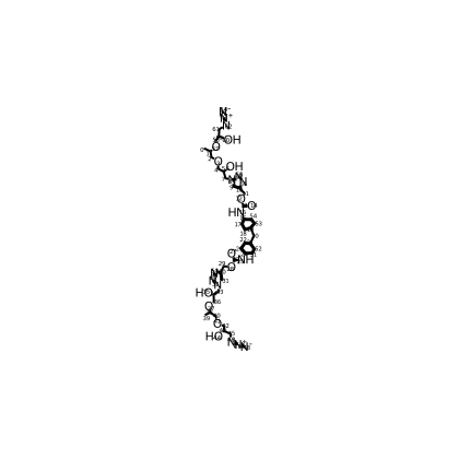 CC(COCC(O)Cn1cc(COC(=O)Nc2ccc(Cc3ccc(NC(=O)OCc4cn(CC(O)COC(C)COCC(O)CN=[N+]=[N-])nn4)cc3)cc2)nn1)OCC(O)CN=[N+]=[N-]